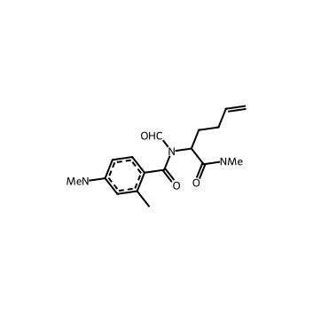 C=CCCC(C(=O)NC)N(C=O)C(=O)c1ccc(NC)cc1C